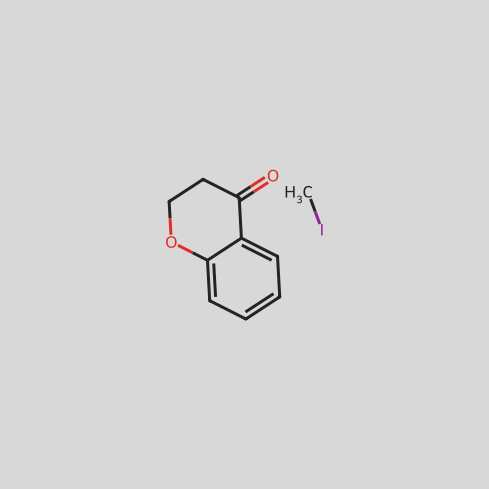 CI.O=C1CCOc2ccccc21